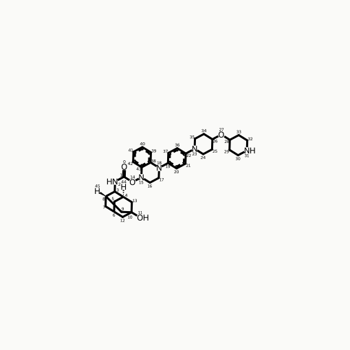 O=C(NC1[C@@H]2CC3C[C@H]1CC(O)(C3)C2)ON1CCN(c2ccc(N3CCC(OC4CCNCC4)CC3)cc2)c2ccccc21